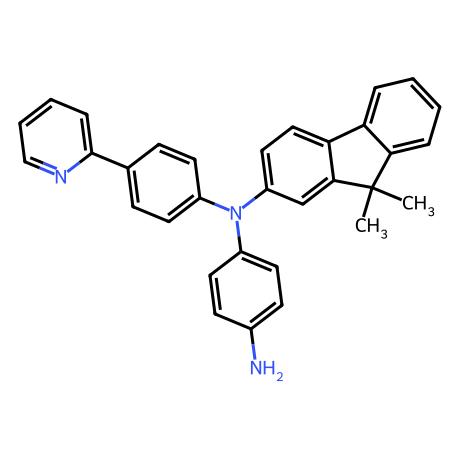 CC1(C)c2ccccc2-c2ccc(N(c3ccc(N)cc3)c3ccc(-c4ccccn4)cc3)cc21